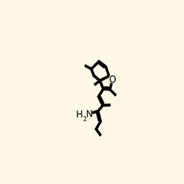 CC/C=C(N)/C(C)=C/C1=C(C)OC2C=CC(C)CC12C